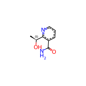 C[C@H](O)c1ncccc1C(N)=O